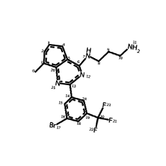 Cc1cccc2c(NCCCN)nc(-c3cc(Br)cc(C(F)(F)F)c3)nc12